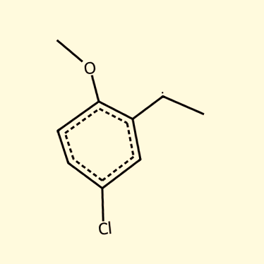 C[CH]c1cc(Cl)ccc1OC